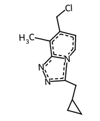 Cc1c(CCl)ccn2c(CC3CC3)nnc12